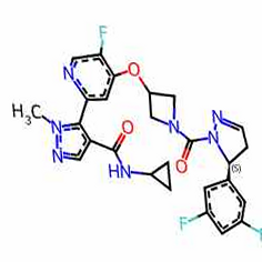 Cn1ncc(C(=O)NC2CC2)c1-c1cc(OC2CN(C(=O)N3N=CC[C@H]3c3cc(F)cc(F)c3)C2)c(F)cn1